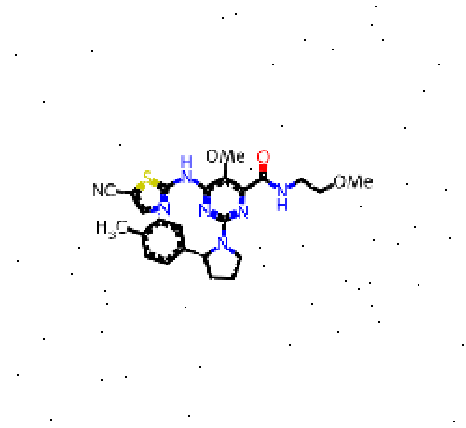 COCCNC(=O)c1nc(N2CCC[C@H]2c2ccc(C)cc2)nc(Nc2ncc(C#N)s2)c1OC